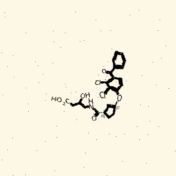 O=C(O)CC(O)CNC(=O)[C@H]1CC[C@H](Oc2ccc(C(=O)c3ccccc3)c(Cl)c2Cl)C1